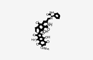 COC1=CC(=O)c2c(O)c3c(c(O)c2C1=O)C(=O)[C@]1(CCc2c1c(O)c1c(=O)[nH]c(C=NN(C(N)=O)c4ccccc4)cc1c2Cl)C3=O